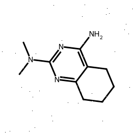 CN(C)c1nc(N)c2c(n1)CCCC2